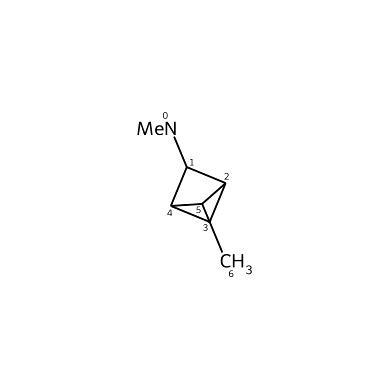 CNC1C2CC1C2C